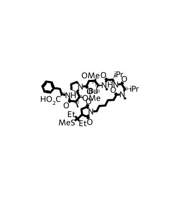 CC[C@H](C)[C@@H]([C@@H](CC(=O)N1CCC[C@H]1[C@H](OC)[C@@H](C)C(=O)N[C@@H](Cc1ccccc1)C(=O)O)OC)N(C)C(=O)[C@@H](NC(=O)[C@H](C(C)C)N(C)C(=O)CCCCCN1C(=O)CC(C(CC)(CC)SC)C1=O)C(C)C